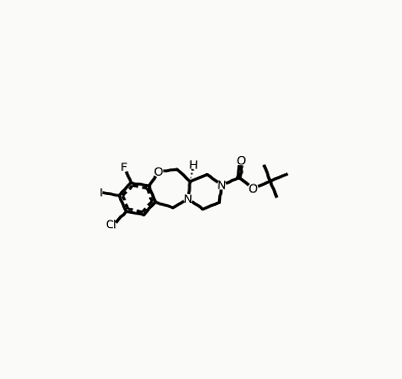 CC(C)(C)OC(=O)N1CCN2Cc3cc(Cl)c(I)c(F)c3OC[C@H]2C1